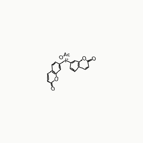 CC(=O)[O-].O=c1ccc2ccc([I+]c3ccc4ccc(=O)oc4c3)cc2o1